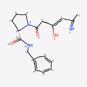 CC(=N)/C=C(\O)CC(=O)N1CCC[C@H]1C(=O)NCc1ccccc1